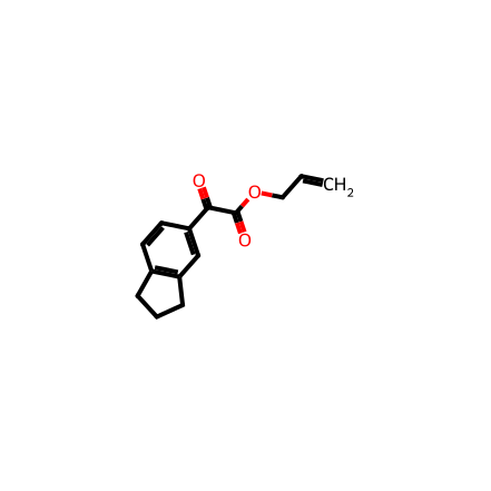 C=CCOC(=O)C(=O)c1ccc2c(c1)CCC2